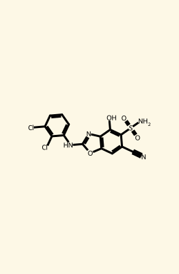 N#Cc1cc2oc(Nc3cccc(Cl)c3Cl)nc2c(O)c1S(N)(=O)=O